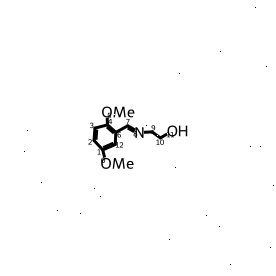 COc1ccc(OC)c(C=NCCO)c1